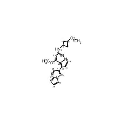 COc1nc(NC2CC(OC)C2)nn2ccc(-c3cnc4nccn4c3)c12